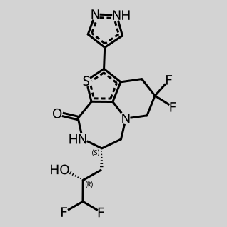 O=C1N[C@@H](C[C@@H](O)C(F)F)CN2CC(F)(F)Cc3c(-c4cn[nH]c4)sc1c32